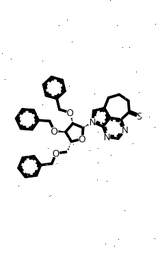 S=C1CCCc2cn([C@@H]3O[C@H](COCc4ccccc4)[C@@H](OCc4ccccc4)[C@@H]3OCc3ccccc3)c3ncnc1c23